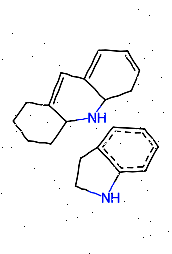 C1=CCC2NC3CCCCC3=CC2=C1.c1ccc2c(c1)CCN2